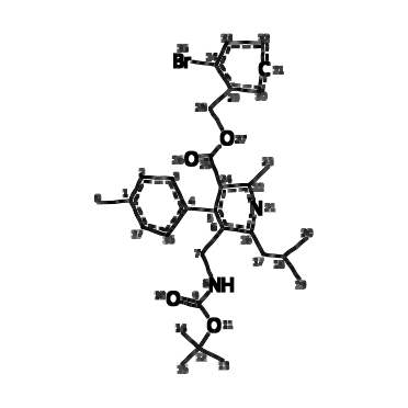 Cc1ccc(-c2c(CNC(=O)OC(C)(C)C)c(CC(C)C)nc(C)c2C(=O)OCc2ccccc2Br)cc1